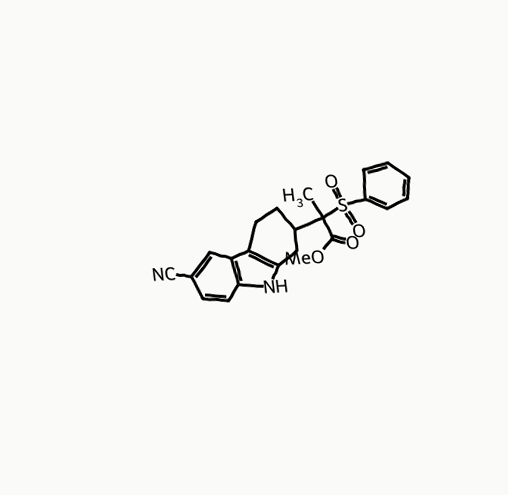 COC(=O)C(C)(C1CCc2c([nH]c3ccc(C#N)cc23)C1)S(=O)(=O)c1ccccc1